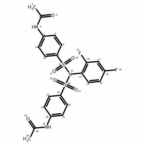 CC(=O)Nc1ccc(S(=O)(=O)N(c2ccc(F)cc2F)S(=O)(=O)c2ccc(NC(C)=O)cc2)cc1